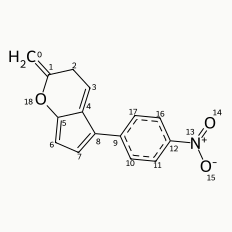 C=C1CC=C2C(=CC=C2c2ccc([N+](=O)[O-])cc2)O1